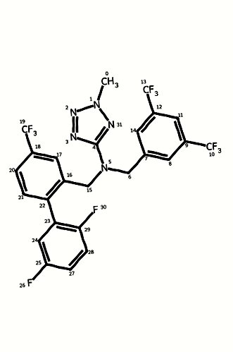 Cn1nnc(N(Cc2cc(C(F)(F)F)cc(C(F)(F)F)c2)Cc2cc(C(F)(F)F)ccc2-c2cc(F)ccc2F)n1